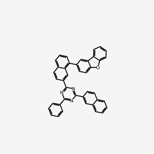 c1ccc(-c2nc(-c3ccc4ccccc4c3)nc(-c3ccc4cccc(-c5ccc6oc7ccccc7c6c5)c4c3)n2)cc1